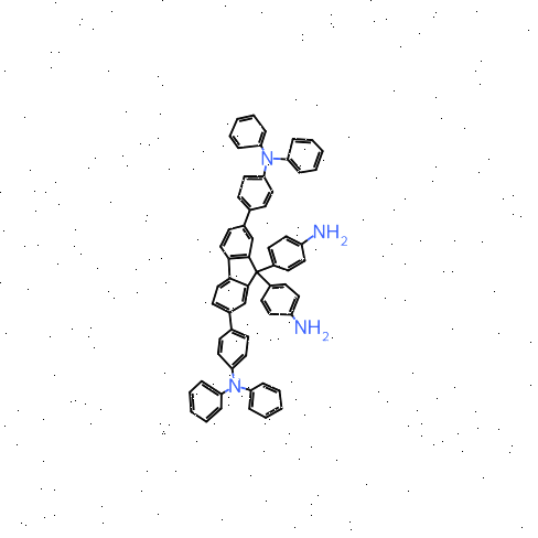 Nc1ccc(C2(c3ccc(N)cc3)c3cc(-c4ccc(N(c5ccccc5)c5ccccc5)cc4)ccc3-c3ccc(-c4ccc(N(c5ccccc5)c5ccccc5)cc4)cc32)cc1